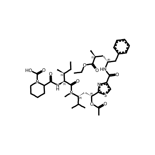 CCOC(=O)[C@@H](C)C[C@H](Cc1ccccc1)NC(=O)c1csc([C@@H](C[C@H](C(C)C)N(C)C(=O)[C@@H](NC(=O)C2CCCCN2C(=O)O)[C@@H](C)CC)OC(C)=O)n1